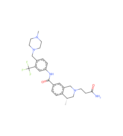 C[C@H]1CN(CCC(N)=O)Cc2cc(C(=O)Nc3ccc(CN4CCN(C)CC4)c(C(F)(F)F)c3)ccc21